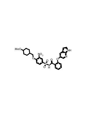 COC1CCC(COc2ccc(S(=O)(=O)NC(=O)c3ccccc3Oc3cnc4[nH]ccc4c3)cc2[N+](=O)[O-])CC1